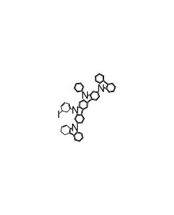 IC1C=CC=C(n2c3cc(-n4c5c(c6ccccc64)CCC=C5)ccc3c3cc4c5ccc(-n6c7ccccc7c7ccccc76)cc5n(-c5ccccc5)c4cc32)C1